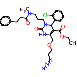 CCOC(=O)C1=C(COCCN=[N+]=[N-])NC(=O)N(CCCN(C)C(=O)CCc2ccccc2)C1c1ccccc1Cl